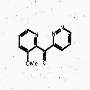 COc1cccnc1C(=O)c1cccnn1